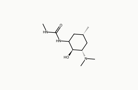 CNC(=O)NC1C[C@H](C)C[C@H](N(C)C)[C@H]1O